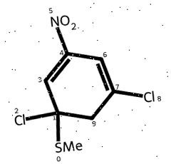 CSC1(Cl)C=C([N+](=O)[O-])C=C(Cl)C1